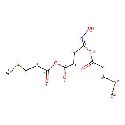 CC(=O)SCCC(=O)OC(=O)CC/C(=N/O)OC(=O)CCSC(C)=O